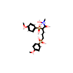 COc1ccc(S(=O)(=O)CCCC(C(=O)N(C)O)S(=O)(=O)c2ccc(OC)cc2)cc1